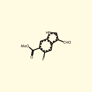 COC(=O)c1cc2[nH]cc(C=O)c2cc1F